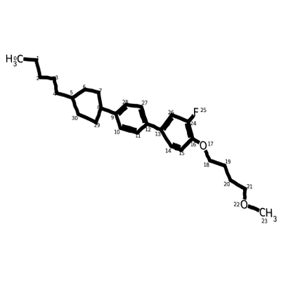 CCCCCC1CCC(c2ccc(-c3ccc(OCCCCOC)c(F)c3)cc2)CC1